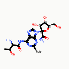 CSc1nc(NC(=O)C(N)C(C)O)c2ncn([C@]3(C(N)=O)O[C@H](CO)[C@@H](O)[C@H]3O)c2n1